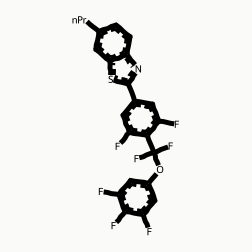 CCCc1ccc2nc(-c3cc(F)c(C(F)(F)Oc4cc(F)c(F)c(F)c4)c(F)c3)sc2c1